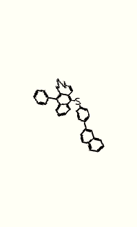 c1ccc(-c2c3ccccc3c(Sc3ccc(-c4ccc5ccccc5c4)cc3)c3ccncc23)cc1